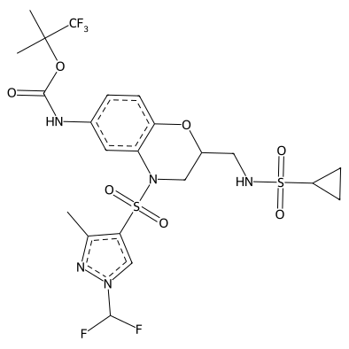 Cc1nn(C(F)F)cc1S(=O)(=O)N1CC(CNS(=O)(=O)C2CC2)Oc2ccc(NC(=O)OC(C)(C)C(F)(F)F)cc21